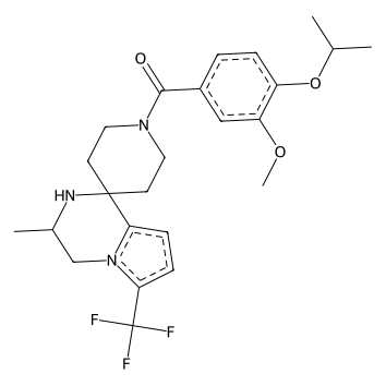 COc1cc(C(=O)N2CCC3(CC2)NC(C)Cn2c(C(F)(F)F)ccc23)ccc1OC(C)C